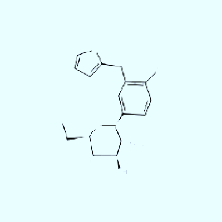 OC[C@H]1O[C@@H](c2ccc(Cl)c(Cc3cccs3)c2)[C@H](O)[C@@H](O)[C@@H]1O